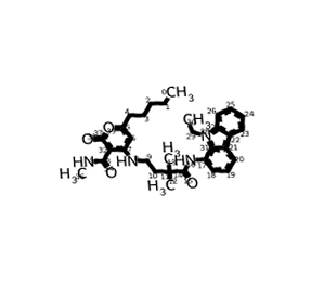 CCCCCc1cc(NCCC(C)(C)C(=O)Nc2cccc3c4ccccc4n(CC)c23)c(C(=O)NC)c(=O)o1